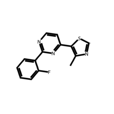 Cc1n[c]sc1-c1ccnc(-c2ccccc2F)n1